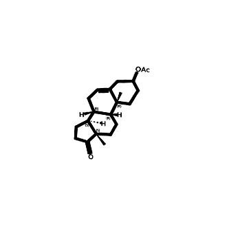 CC(=O)OC1CC[C@@]2(C)C(=CC[C@@H]3[C@H]2CC[C@]2(C)C(=O)CC[C@@H]32)C1